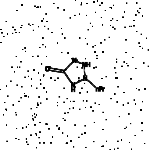 CCCN1N[N]C(=O)N1